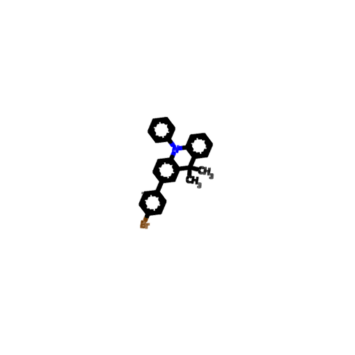 CC1(C)c2ccccc2N(c2ccccc2)c2ccc(-c3[c]cc(Br)cc3)cc21